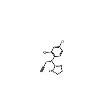 C#CCN(C1=NCCN1)c1ccc(Cl)cc1Cl